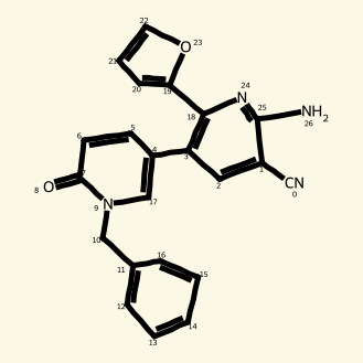 N#Cc1cc(-c2ccc(=O)n(Cc3ccccc3)c2)c(-c2ccco2)nc1N